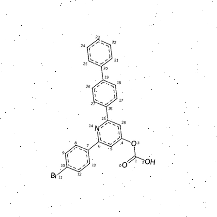 O=C(O)Oc1cc(-c2ccc(Br)cc2)nc(-c2ccc(-c3ccccc3)cc2)c1